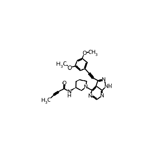 CC#CC(=O)N[C@H]1CCCN(c2ncnc3[nH]nc(C#Cc4cc(OC)cc(OC)c4)c23)C1